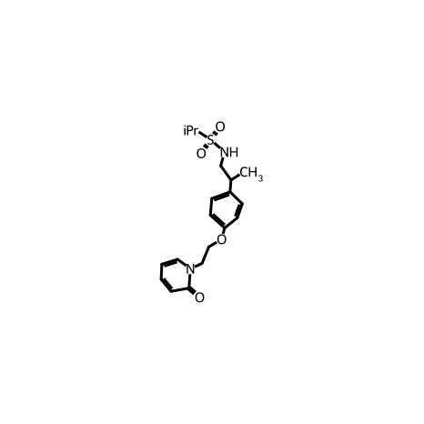 CC(CNS(=O)(=O)C(C)C)c1ccc(OCCn2ccccc2=O)cc1